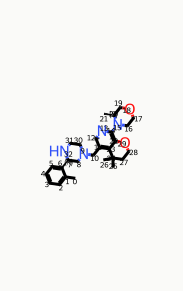 Cc1ccccc1[C@@H]1CN(Cc2cnc(N3CCOC[C@@H]3C)c3c2C(C)(C)CCO3)CCN1